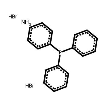 Br.Br.N.c1ccc(P(c2ccccc2)c2ccccc2)cc1